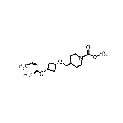 C=C(/C=C\C)O[C@H]1C[C@H](OCC2CCN(C(=O)OC(C)(C)C)CC2)C1